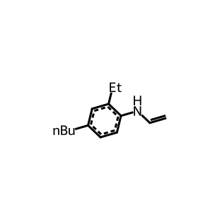 C=CNc1ccc(CCCC)cc1CC